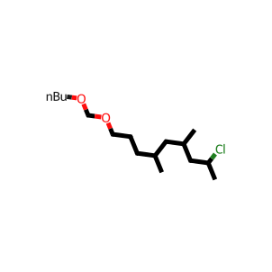 CCCCOCOCCCC(C)CC(C)CC(C)Cl